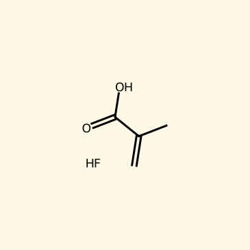 C=C(C)C(=O)O.F